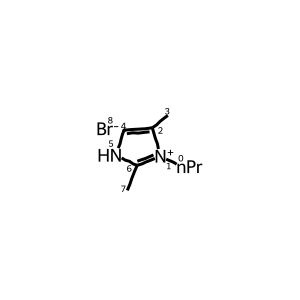 CCC[n+]1c(C)c[nH]c1C.[Br-]